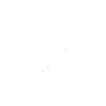 O=[C-]O.O=[C-]O.O=[C-]O.O=[C-]O.O=[C-]O.[Nb+5]